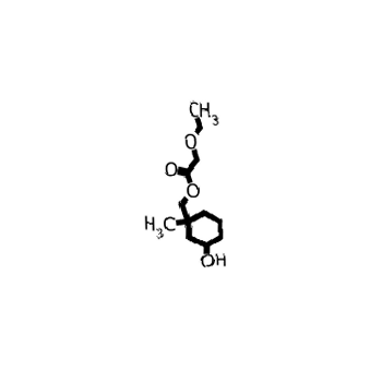 CCOCC(=O)OCC1(C)CCCC(O)C1